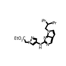 CCOC(=O)Cn1cc(Nc2ncc3ccn(CC(C(C)C)C(C)C)c3n2)cn1